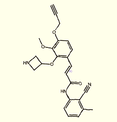 C#CCOc1ccc(/C=C/C(=O)Nc2cccc(C)c2C#N)c(OC2CNC2)c1OC